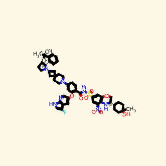 CC1(O)CCC([C@H]2COc3cc(S(=O)(=O)NC(=O)c4ccc(N5CCC6(CC5)CC(N5CCC[C@@H]5c5ccccc5C(C)(C)C)C6)cc4Oc4cnc5[nH]cc(F)c5c4)cc([N+](=O)[O-])c3N2)CC1